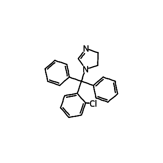 Clc1ccccc1C(c1ccccc1)(c1ccccc1)N1C=NCC1